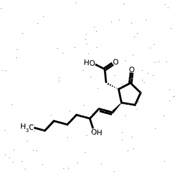 CCCCCC(O)C=C[C@@H]1CCC(=O)[C@H]1CC(=O)O